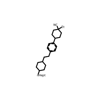 CCCCCCCC1CCC(CCc2ccc(C3CCC(C#N)(CC)CC3)cc2)CC1